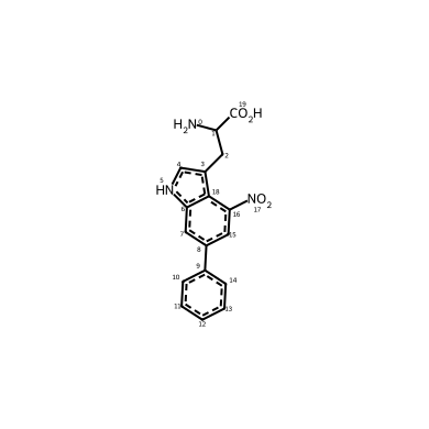 NC(Cc1c[nH]c2cc(-c3ccccc3)cc([N+](=O)[O-])c12)C(=O)O